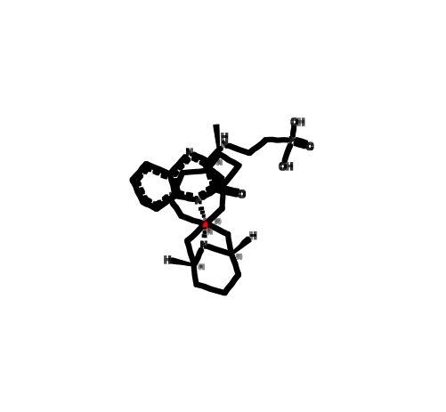 C[C@H]1CC2=C1CCC[C@@H](N1[C@@H]3CCC[C@H]1C[C@@H](n1c(=O)c(NCCP(=O)(O)O)nc4ccccc41)C3)C2